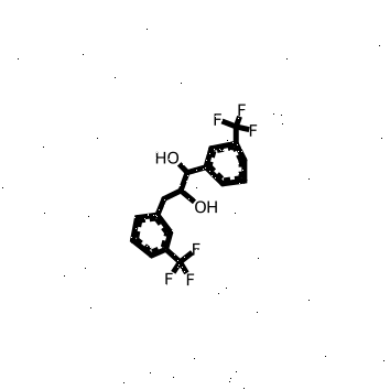 OC(Cc1cccc(C(F)(F)F)c1)C(O)c1cccc(C(F)(F)F)c1